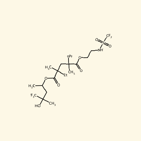 CCCC(C)(CC(C)(CC)C(=O)OC(C)CC(C)(O)C(F)(F)F)C(=O)OCCNS(=O)(=O)C(F)(F)F